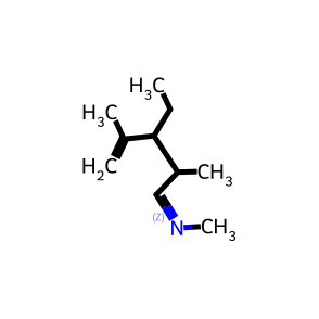 C=C(C)C(CC)C(C)/C=N\C